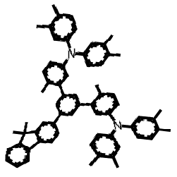 Cc1ccc(N(c2ccc(C)c(C)c2)c2ccc(C)c(-c3cc(-c4ccc5c(c4)C(C)(C)c4ccccc4-5)cc(-c4cc(N(c5ccc(C)c(C)c5)c5ccc(C)c(C)c5)ccc4C)c3)c2)cc1C